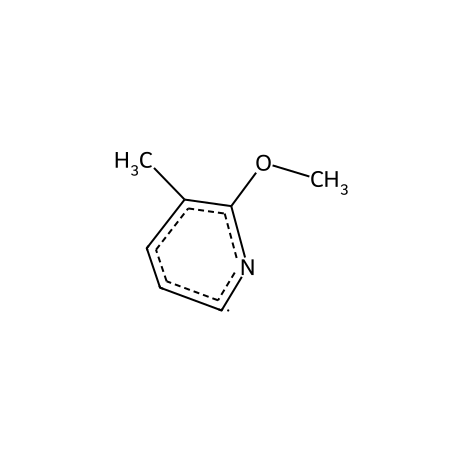 COc1n[c]ccc1C